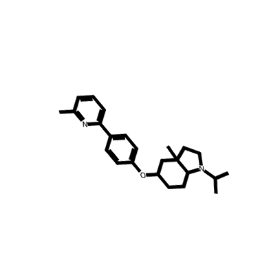 Cc1cccc(-c2ccc(OC3CCC4N(C(C)C)CCC4(C)C3)cc2)n1